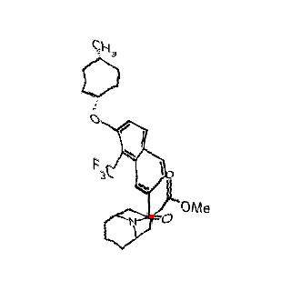 COC(=O)C1CC2CCCC(C1)N2C(=O)c1ccc2ccc(O[C@H]3CC[C@@H](C)CC3)c(C(F)(F)F)c2c1